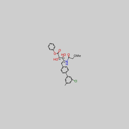 COCC(=O)N[C@@H](Cc1ccc(-c2cc(C)cc(Cl)c2)cc1)[C@H](O)[C@@H](O)C(=O)Oc1ccccc1